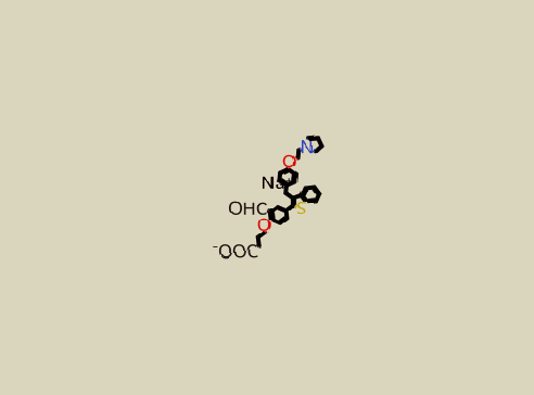 O=Cc1cc(-c2sc3ccccc3c2Cc2ccc(OCCN3CCCC3)cc2)ccc1OCCCC(=O)[O-].[Na+]